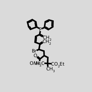 C=C(/C=C\C(=C)P(c1ccccc1)c1ccccc1)C(Br)CC(CC(C)(C)C(=O)OCC)C(=O)OC